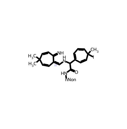 CCCCCCCCCNC(=O)C(N/C=C1/C=CC(C)(C)C=CC1=N)C1=CC=CC(C)(I)C=C1